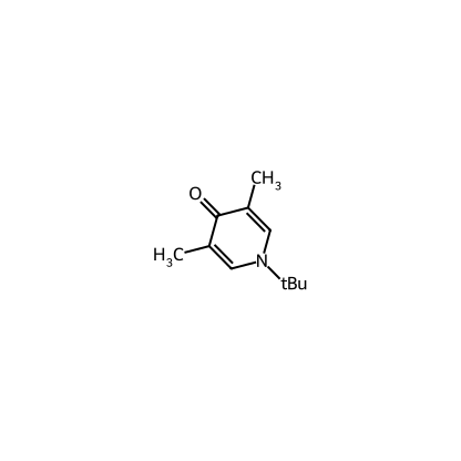 Cc1cn(C(C)(C)C)cc(C)c1=O